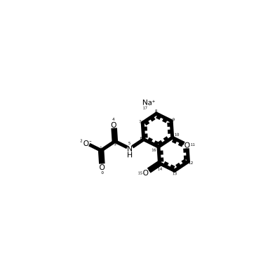 O=C([O-])C(=O)Nc1cccc2occc(=O)c12.[Na+]